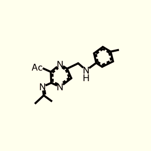 CC(=O)c1nc(CNc2ccc(C)cc2)cnc1N=C(C)C